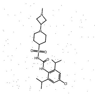 CC(C)c1cc(Cl)cc(C(C)C)c1NC(=O)NS(=O)(=O)C1CCN(C2CN(C)C2)CC1